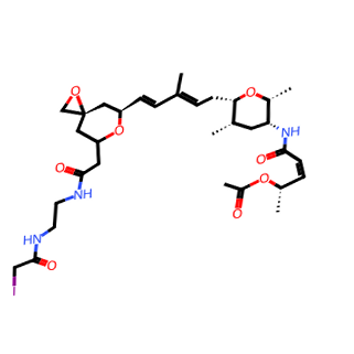 CC(=O)O[C@@H](C)/C=C\C(=O)N[C@@H]1C[C@H](C)[C@H](C/C=C(C)/C=C/[C@@H]2C[C@]3(CO3)CC(CC(=O)NCCNC(=O)CI)O2)O[C@@H]1C